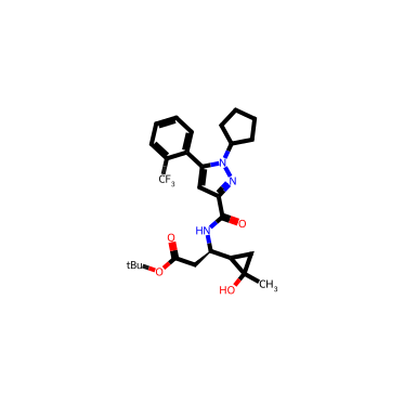 CC(C)(C)OC(=O)C[C@@H](NC(=O)c1cc(-c2ccccc2C(F)(F)F)n(C2CCCC2)n1)C1CC1(C)O